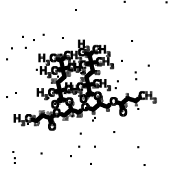 CCCC(=O)OCC(COCC(COC(=O)CCC)OC(=O)C(C)(C)CCC(C)(C)C(C)C)OC(=O)C(C)(C)CCC(C)(C)C(C)C